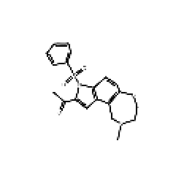 CC(=O)c1cc2c3c(ccc2n1S(=O)(=O)c1ccccc1)OCCN(C)C3